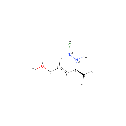 COC/C(C)=C/[C@H](C(C)C)N(C)NCl